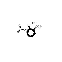 O=C(O)c1ccccc1O.[Ca+2].[O-]B([O-])O